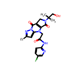 CCc1cc2n(CC(=O)Nc3ccc(F)cn3)c3c(c(=O)n2n1)CN(C(C)(C)CO)C3=O